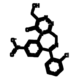 O=c1c(CO)nnc2n1-c1cc([N+](=O)[O-])ccc1C(c1ccccc1Cl)=NC2